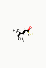 CCC(C)C=CC(=O)S